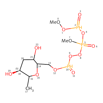 COO[PH](=O)OP(=O)(OC)OO[PH](=O)OCC1OC(C)[C@@H](O)CC1O